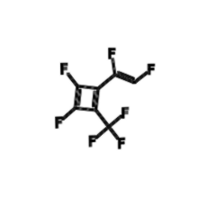 FC=C(F)C1=C(C(F)(F)F)C(F)=C1F